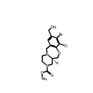 CC(C)(C)OC(=O)N1CCN2Cc3cc(CO)c(Br)c(Cl)c3OC[C@H]2C1